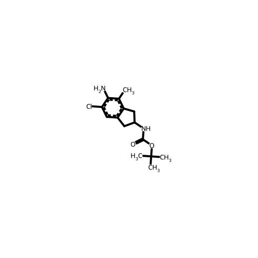 Cc1c(N)c(Cl)cc2c1CC(NC(=O)OC(C)(C)C)C2